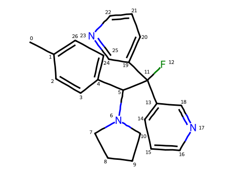 Cc1ccc(C(N2CCCC2)C(F)(c2cccnc2)c2cccnc2)cc1